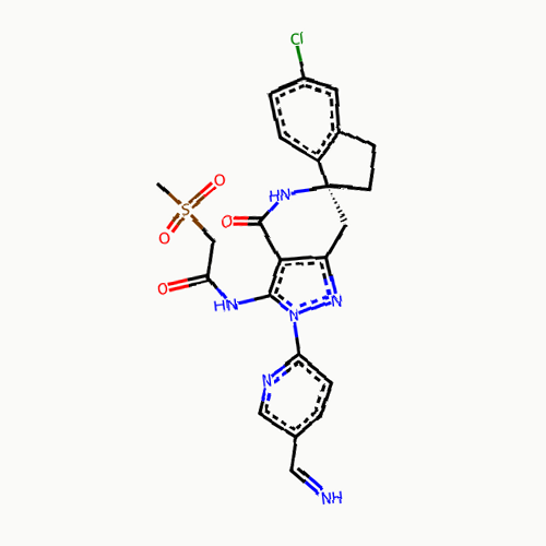 CS(=O)(=O)CC(=O)Nc1c2c(nn1-c1ccc(C=N)cn1)C[C@]1(CCc3cc(Cl)ccc31)NC2=O